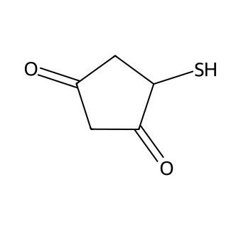 O=C1CC(=O)C(S)C1